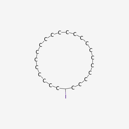 IC1CCCCCCCCCCCCCCCCCCCCCC1